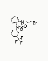 O=S1(=O)N(CCCBr)c2ccccc2N1c1cccc(C(F)(F)F)c1